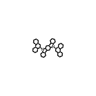 c1ccc2c(c1)cc(-n1c3ccccc3c3cc4c(cc31)c1ccccc1n4-c1cc3ccccc3c3ccccc13)c1ccccc12